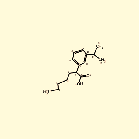 CCCCCC(C(=O)O)c1cccc(C(C)C)c1